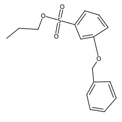 CCCOS(=O)(=O)c1cccc(OCc2ccccc2)c1